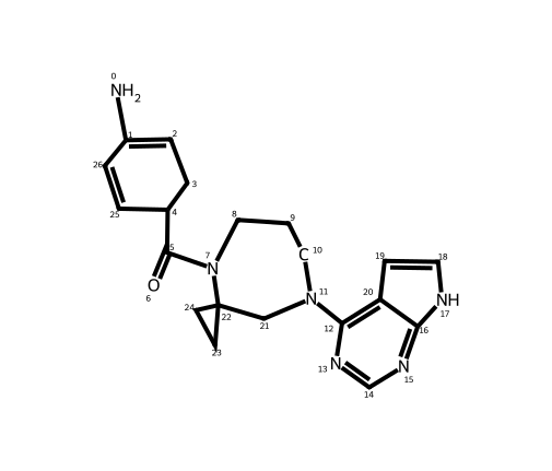 NC1=CCC(C(=O)N2CCCN(c3ncnc4[nH]ccc34)CC23CC3)C=C1